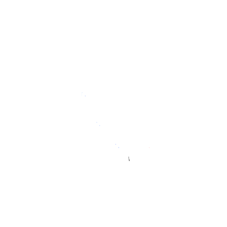 CCc1cc2c(nc1-c1ccc(C(C)C)nc1OC)c(C)cn2[C@H](C)COC